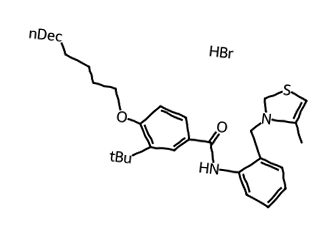 Br.CCCCCCCCCCCCCCOc1ccc(C(=O)Nc2ccccc2CN2CSC=C2C)cc1C(C)(C)C